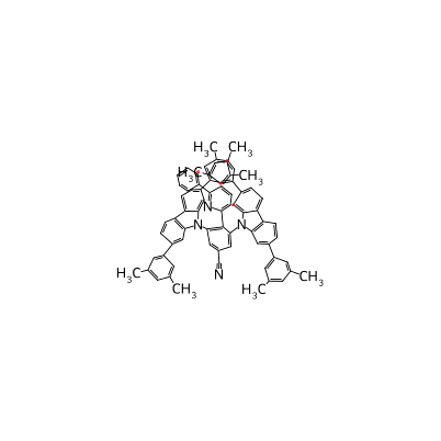 Cc1cc(C)cc(-c2ccc3c4ccc(-c5cc(C)cc(C)c5)cc4n(-c4cc(C#N)cc(-n5c6cc(-c7cc(C)cc(C)c7)ccc6c6ccc(-c7cc(C)cc(C)c7)cc65)c4-c4cccc(-c5ccccc5)n4)c3c2)c1